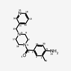 Cc1cc(C(=O)N2CCN(Cc3cccnc3)CC2)ccc1N